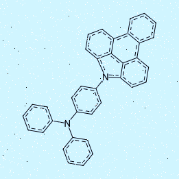 c1ccc(N(c2ccccc2)c2ccc(-n3c4cccc5c6ccccc6c6cccc3c6c54)cc2)cc1